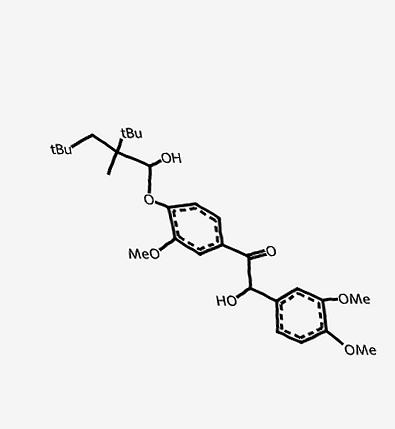 COc1ccc(C(O)C(=O)c2ccc(OC(O)C(C)(CC(C)(C)C)C(C)(C)C)c(OC)c2)cc1OC